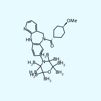 BC1(B)OC(B)(B)C(B)(B)N(c2ccc3c(c2)N(C(=O)[C@H]2CC[C@H](OC)CC2)Cc2cccnc2N3)C1(B)B